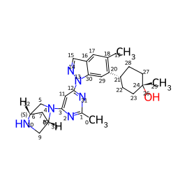 Cc1nc(N2C[C@@H]3C[C@H]2CN3)cc(-n2ncc3cc(C)c([C@H]4CC[C@@](C)(O)CC4)cc32)n1